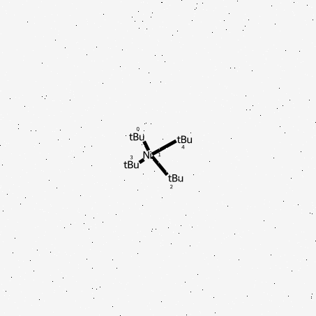 C[C](C)(C)[Ni]([C](C)(C)C)([C](C)(C)C)[C](C)(C)C